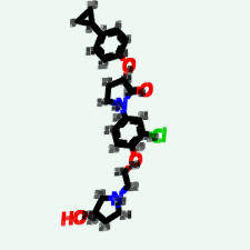 O=C1[C@@H](Oc2ccc(C3CC3)cc2)CCN1c1ccc(OCCN2CC[C@H](O)C2)c(Cl)c1